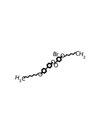 CCCCCCCCOc1ccc(-c2ccc(OC(=O)c3ccc(OCCCCCCC)c(Br)c3)cc2)cc1